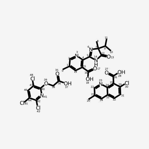 Cc1cnc(C2=NC(C)(C(C)C)C(=O)N2)c(C(=O)O)c1.Cc1cnc2c(C(=O)O)c(Cl)ccc2c1.O=C(O)COc1nc(Cl)c(Cl)cc1Cl